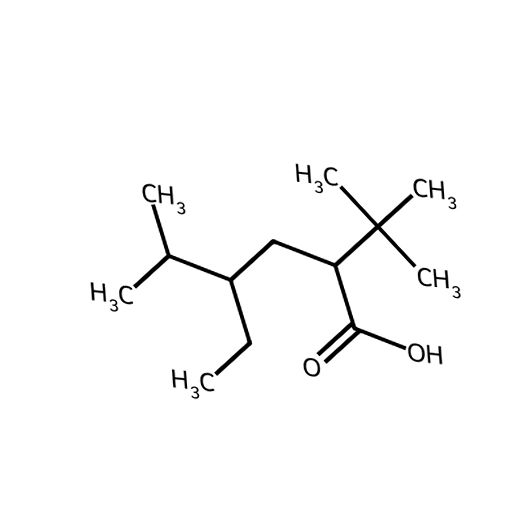 CCC(CC(C(=O)O)C(C)(C)C)C(C)C